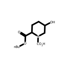 CCCCOC(=O)C1CCC(O)CN1C(=O)O